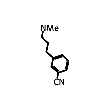 CNCCCc1cccc(C#N)c1